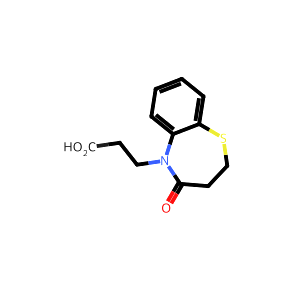 O=C(O)CCN1C(=O)CCSc2ccccc21